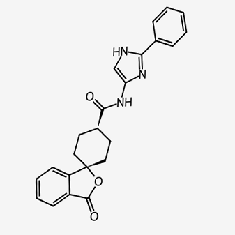 O=C1O[C@]2(CC[C@H](C(=O)Nc3c[nH]c(-c4ccccc4)n3)CC2)c2ccccc21